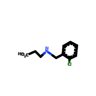 O=C(O)CCNCc1ccccc1Cl